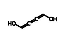 OC=C=C=CO